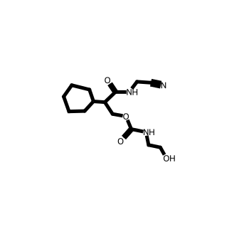 N#CCNC(=O)C(COC(=O)NCCO)C1CCCCC1